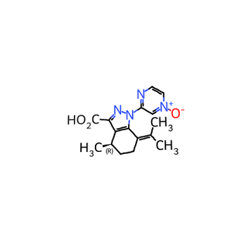 CC(C)=C1CC[C@@H](C)c2c(C(=O)O)nn(-c3c[n+]([O-])ccn3)c21